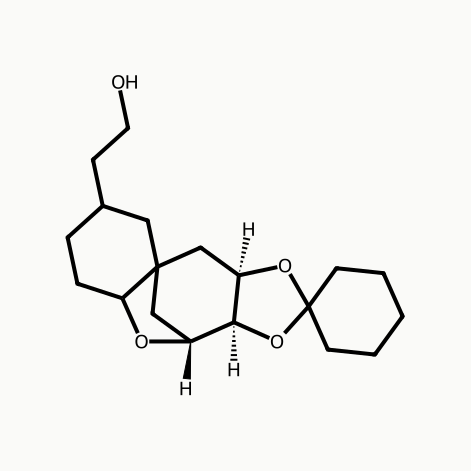 OCCC1CCC2O[C@@H]3CC2(C1)C[C@H]1OC2(CCCCC2)O[C@@H]31